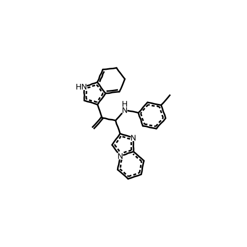 C=C(c1c[nH]c2c1=CCCC=2)C(Nc1cccc(C)c1)c1cn2ccccc2n1